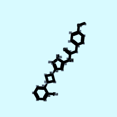 COc1ccc(CC(=O)Nc2cc([C@H]3C[C@@H](c4ccccc4F)C3)n[nH]2)cc1